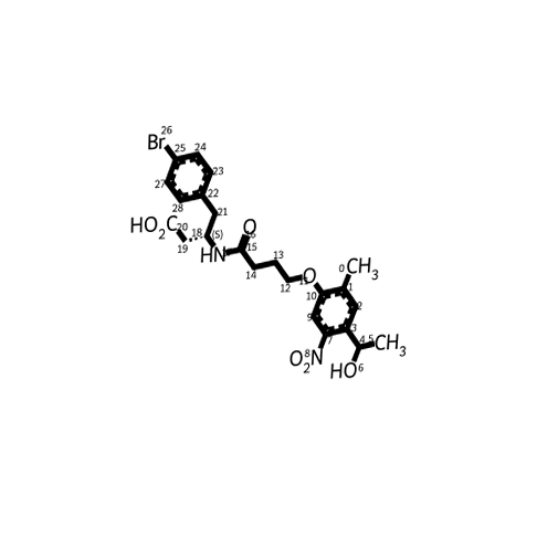 Cc1cc(C(C)O)c([N+](=O)[O-])cc1OCCCC(=O)N[C@H](CC(=O)O)Cc1ccc(Br)cc1